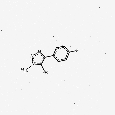 CC(=O)c1c(-c2ccc(F)cc2)nnn1C